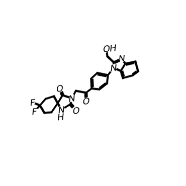 O=C(CN1C(=O)NC2(CCC(F)(F)CC2)C1=O)c1ccc(-n2c(CO)nc3ccccc32)cc1